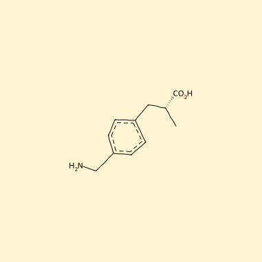 C[C@H](Cc1ccc(CN)cc1)C(=O)O